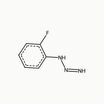 N=NNc1ccccc1F